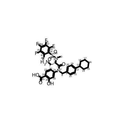 CN([C@@H](CN)C(=O)N(Cc1ccc(C2CCCCC2)cc1)c1ccc(C(=O)O)c(O)c1)S(=O)(=O)c1c(F)c(F)c(F)c(F)c1F